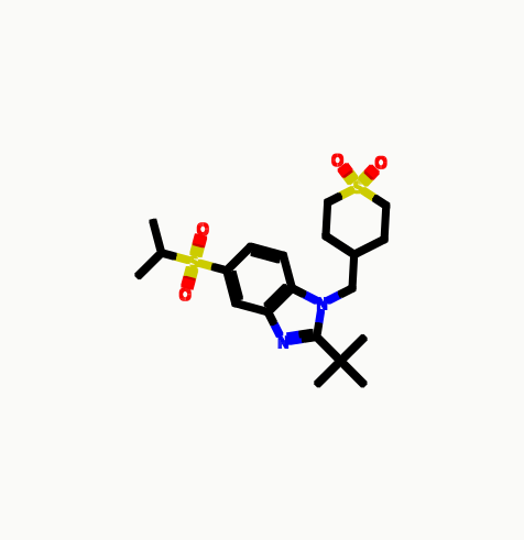 CC(C)S(=O)(=O)c1ccc2c(c1)nc(C(C)(C)C)n2CC1CCS(=O)(=O)CC1